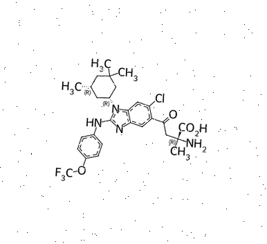 C[C@H]1C[C@@H](n2c(Nc3ccc(OC(F)(F)F)cc3)nc3cc(C(=O)C[C@@](C)(N)C(=O)O)c(Cl)cc32)CC(C)(C)C1